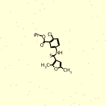 Cc1cc(C(=S)Nc2ccc(Cl)c(C(=O)OC(C)C)c2)c(C)o1